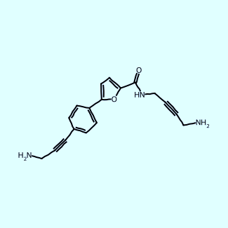 NCC#CCNC(=O)c1ccc(-c2ccc(C#CCN)cc2)o1